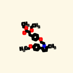 CCOC(=O)C(Cc1ccc(OCCn2c(C)ccc2-c2ccc(OCC)cc2)cc1)OCC